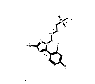 CSc1nc(-c2ccc(Br)cc2F)n(COCC[Si](C)(C)C)n1